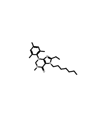 CCCCCCCn1c(CC)nc2c1C(=O)N(C)CN2c1c(C)cc(C)cc1C